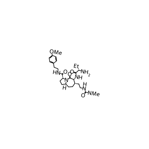 CC[C@H](N)C(=O)N[C@@H]1C(=O)N2[C@@H](CC[C@@H]1CCNC(=O)NC)CC[C@H]2C(=O)NCCc1ccc(OC)cc1